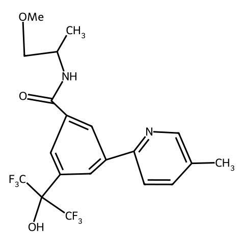 COCC(C)NC(=O)c1cc(-c2ccc(C)cn2)cc(C(O)(C(F)(F)F)C(F)(F)F)c1